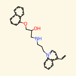 C=Cc1cc[n+](CCCNCC(O)COc2cccc3ccccc23)c2ccccc12